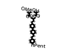 C=C(CO)C(=O)OCC(CCC1CCC(C2CCC(CCC3CCC(CCCCC)CC3)CC2)CC1)COC(=O)C(=C)COC